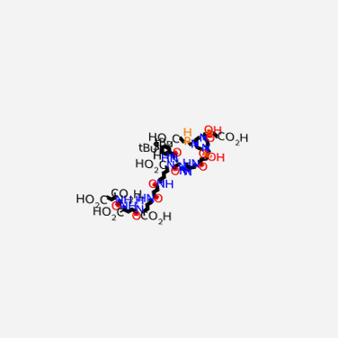 CC(C)(C)[SiH](c1ccc(C(=O)NC[C@@H](C(=O)N[C@H](CCCCNC(=O)CCC(=O)NCCC[C@H](NC(=O)CC[C@H](NC(=O)N[C@@H](CCC(=O)O)C(=O)O)C(=O)O)C(=O)O)C(=O)O)n2cc(CNC(=O)CCP(=O)(O)CN3CCN(CPCCC(=O)O)CCN(CP(=O)(O)CCC(=O)O)CC3)nn2)cc1)C(C)(C)C